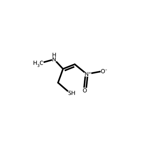 CNC(=C[N+](=O)[O-])CS